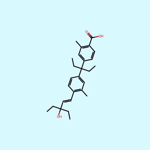 CCC(O)(C=Cc1ccc(C(CC)(CC)c2ccc(C(=O)O)c(C)c2)cc1C)CC